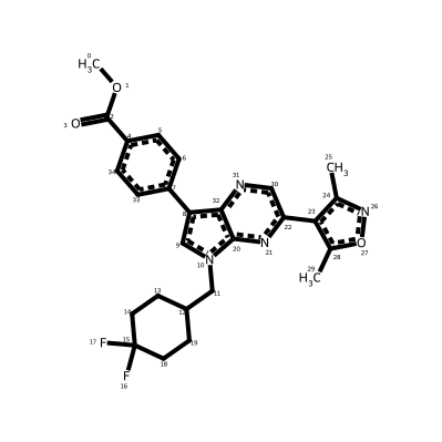 COC(=O)c1ccc(-c2cn(CC3CCC(F)(F)CC3)c3nc(-c4c(C)noc4C)cnc23)cc1